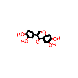 O=c1c(-c2ccc(O)c(O)c2)coc2cc(O)c(O)cc12